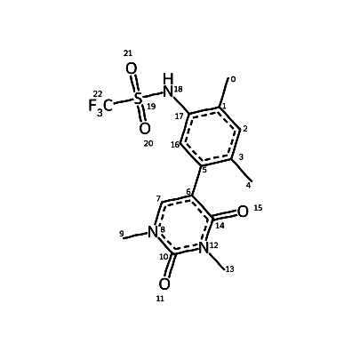 Cc1cc(C)c(-c2cn(C)c(=O)n(C)c2=O)cc1NS(=O)(=O)C(F)(F)F